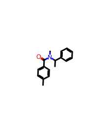 Cc1ccc(C(=O)N(C)C(C)c2ccccc2)cc1